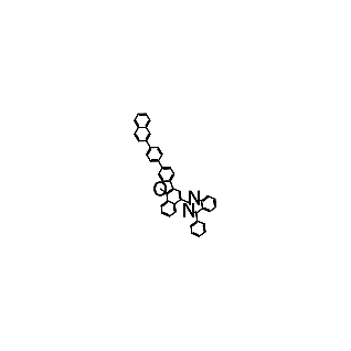 c1ccc(-c2nc(-c3cc4c5ccc(-c6ccc(-c7ccc8ccccc8c7)cc6)cc5oc4c4ccccc34)nc3ccccc23)cc1